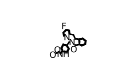 O=C1c2ccccc2C(Cc2cc(F)ccn2)N1Cc1ccc2[nH]c(=O)oc2c1